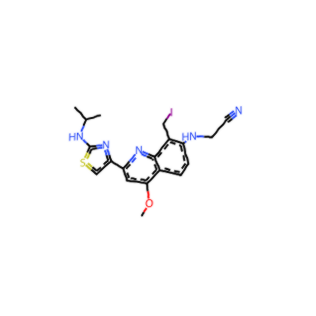 COc1cc(-c2csc(NC(C)C)n2)nc2c(CI)c(NCC#N)ccc12